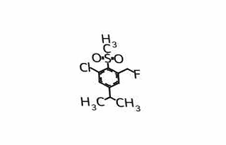 CC(C)c1cc(Cl)c(S(C)(=O)=O)c(CF)c1